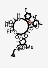 CC[C@H]1OC(=O)[C@H](C)[C@@H](O[C@H]2C[C@@](C)(OC)[C@](O)(CNCC3CC3)[C@H](C)O2)[C@H](C)[C@@H](O[C@@H]2O[C@H](C)C[C@H](N(C)C)[C@H]2Oc2ccc(F)cc2)[C@](C)(O)C[C@@H](C)CN[C@H](C)[C@@H](O)[C@]1(C)O